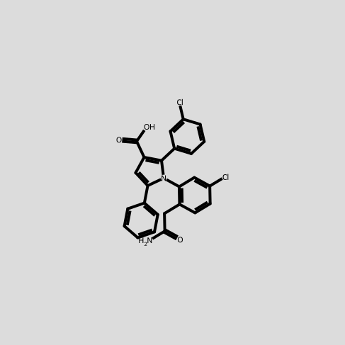 NC(=O)Cc1ccc(Cl)cc1-n1c(-c2ccccc2)cc(C(=O)O)c1-c1cccc(Cl)c1